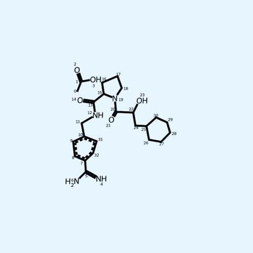 CC(=O)O.N=C(N)c1ccc(CNC(=O)C2CCCN2C(=O)C(O)CC2CCCCC2)cc1